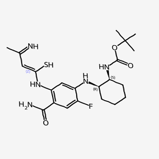 CC(=N)/C=C(\S)Nc1cc(N[C@@H]2CCCC[C@@H]2NC(=O)OC(C)(C)C)c(F)cc1C(N)=O